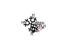 CC1(C)CC(CC(C2CC(C)(C)NC(C)(C)C2)(C2CC(C)(C)NC(C)(C)C2)C(C(=O)O)(C2CC(C)(C)NC(C)(C)C2)C(C(=O)O)(C(=O)O)C(=O)O)CC(C)(C)N1